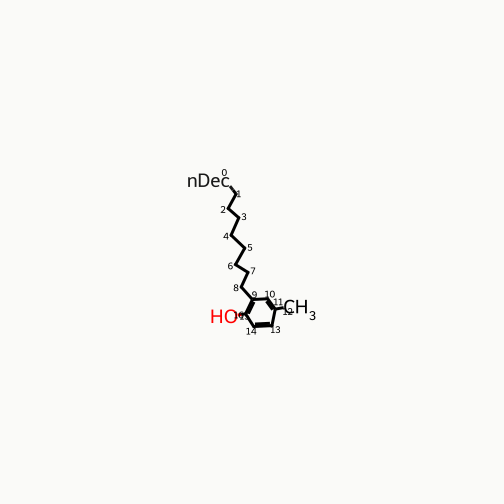 CCCCCCCCCCCCCCCCCCc1cc(C)ccc1O